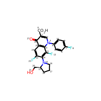 O=C(O)c1cn(-c2ccc(F)cc2)c2c(F)c(N3CCC[C@H]3CO)c(F)cc2c1=O